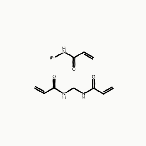 C=CC(=O)NC(C)C.C=CC(=O)NCNC(=O)C=C